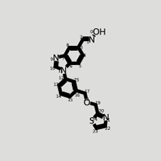 ON=Cc1ccc2c(c1)ncn2-c1cccc(COCc2nccs2)c1